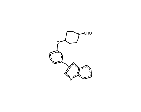 O=CN1CCC(Oc2cccc(-c3cnc4ccccc4c3)c2)CC1